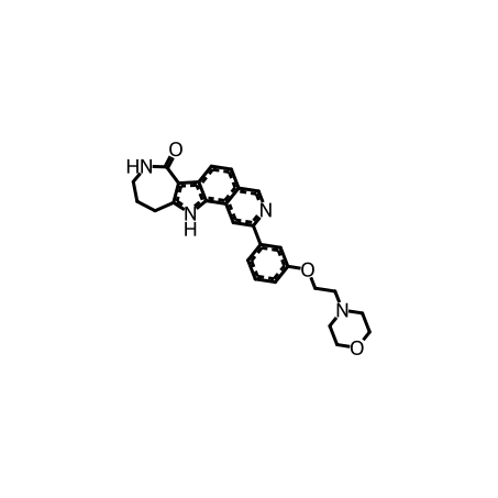 O=C1NCCCc2[nH]c3c(ccc4cnc(-c5cccc(OCCN6CCOCC6)c5)cc43)c21